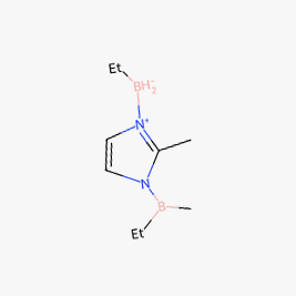 CC[BH2-][n+]1ccn(B(C)CC)c1C